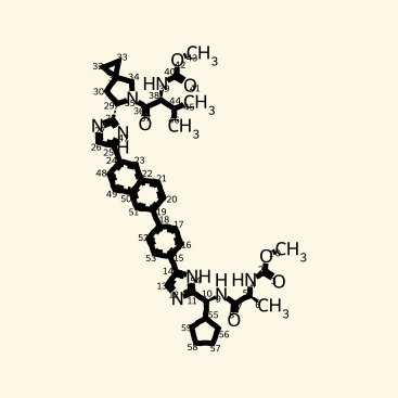 COC(=O)N[C@@H](C)C(=O)N[C@H](c1ncc(-c2ccc(-c3ccc4cc(-c5cnc([C@@H]6CC7(CC7)CN6C(=O)[C@@H](NC(=O)OC)C(C)C)[nH]5)ccc4c3)cc2)[nH]1)C1CCCC1